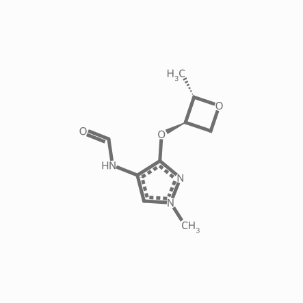 C[C@@H]1OC[C@H]1Oc1nn(C)cc1NC=O